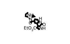 CCOC(=O)c1c[nH]c2c(=O)[nH]c3ccc(C(=O)N(C[C@@H]4CCCN4)C4CC4)cc3c12